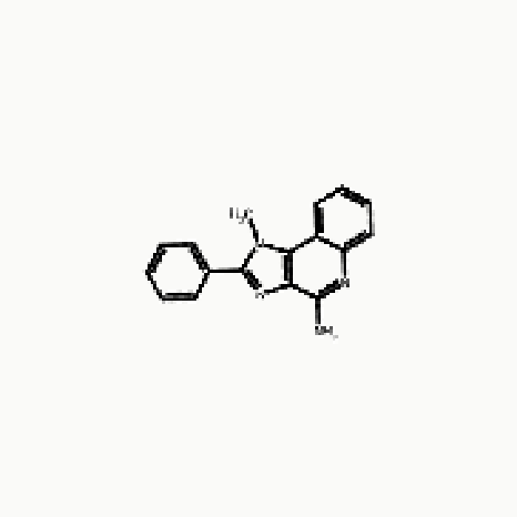 Cn1c(-c2ccccc2)nc2c(N)nc3ccccc3c21